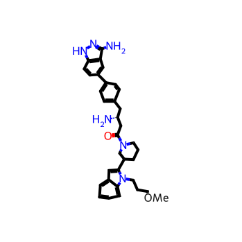 COCCCn1c(C2CCCN(C(=O)C[C@H](N)Cc3ccc(-c4ccc5[nH]nc(N)c5c4)cc3)C2)cc2ccccc21